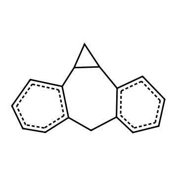 c1ccc2c(c1)Cc1ccccc1C1CC21